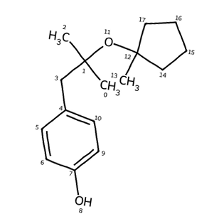 CC(C)(Cc1ccc(O)cc1)OC1(C)CCCC1